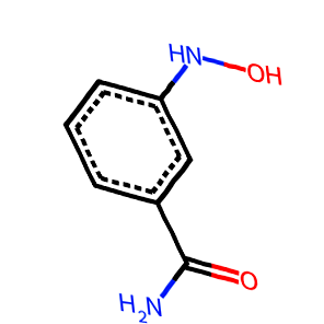 NC(=O)c1cccc(NO)c1